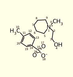 C[N+]1(CCO)CCCCC1.Cc1ccc(S(=O)(=O)[O-])cc1